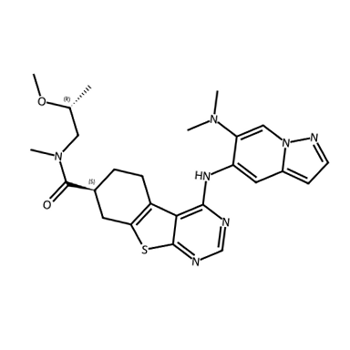 CO[C@H](C)CN(C)C(=O)[C@H]1CCc2c(sc3ncnc(Nc4cc5ccnn5cc4N(C)C)c23)C1